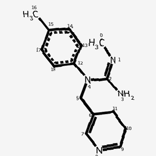 C/N=C(/N)N(CC1=CN=CCC1)c1ccc(C)cc1